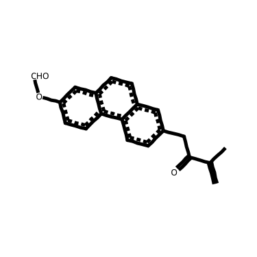 C=C(C)C(=O)Cc1ccc2c(ccc3cc(OC=O)ccc32)c1